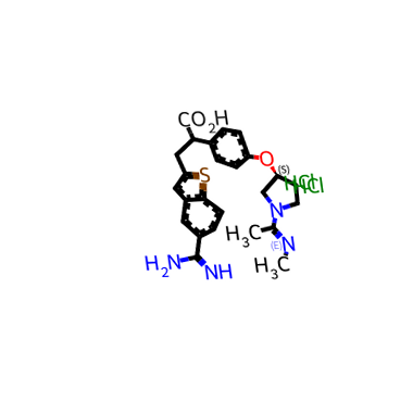 C/N=C(\C)N1CC[C@H](Oc2ccc(C(Cc3cc4cc(C(=N)N)ccc4s3)C(=O)O)cc2)C1.Cl.Cl